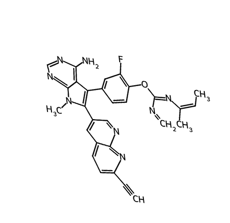 C#Cc1ccc2cc(-c3c(-c4ccc(O/C(N=C)=N/C(C)=C\C)c(F)c4)c4c(N)ncnc4n3C)cnc2n1